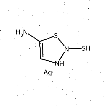 NC1=CNN(S)S1.[Ag]